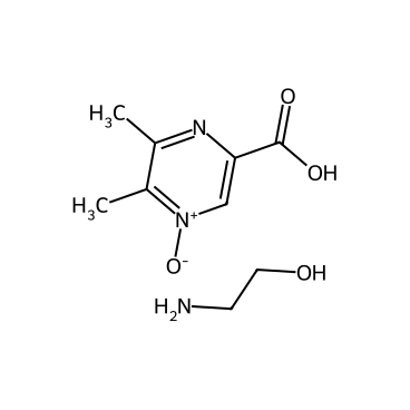 Cc1nc(C(=O)O)c[n+]([O-])c1C.NCCO